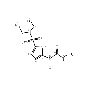 CCN(CC)S(=O)(=O)c1nnc(N(C)C(=O)NC)s1